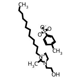 CCCCCCCCCCCC[N+]1=C(C)N(CCO)CC1.Cc1ccc(S(=O)(=O)[O-])cc1